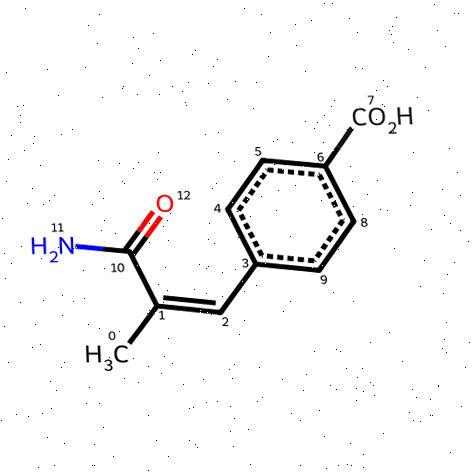 CC(=Cc1ccc(C(=O)O)cc1)C(N)=O